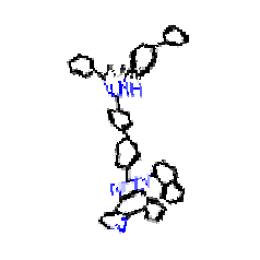 CN/C(=N\C(NCc1ccc(-c2ccccc2)cc1)c1ccc(-c2ccc(-c3nc4c5cccnc5c5ccccc5c4n3-c3cccc4ccccc34)cc2)cc1)c1ccccc1